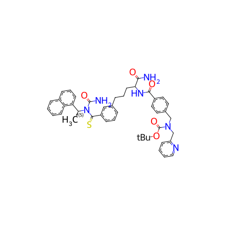 C[C@@H](c1cccc2ccccc12)N(C(N)=O)C(=S)c1cccc(CCCC(NC(=O)c2ccc(CN(Cc3ccccn3)C(=O)OC(C)(C)C)cc2)C(N)=O)c1